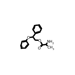 CC(N)C(=O)OCC(Oc1ccccc1)c1ccccc1